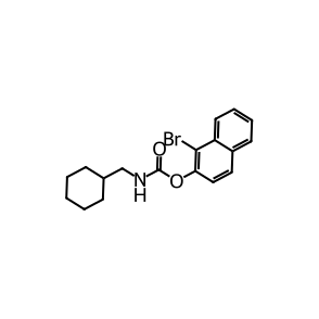 O=C(NCC1CCCCC1)Oc1ccc2ccccc2c1Br